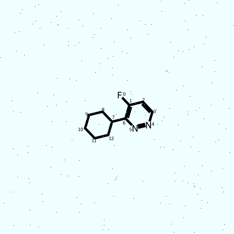 Fc1ccnnc1C1C[CH]CCC1